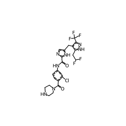 O=C(Nc1ccc(C(=O)N2CCNCC2)c(Cl)c1)c1ncc(Cc2c(C(F)(F)F)n[nH]c2CC(F)F)[nH]1